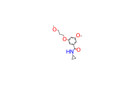 COCCCOc1cc(OC)cc(C(=O)NC2CC2)c1